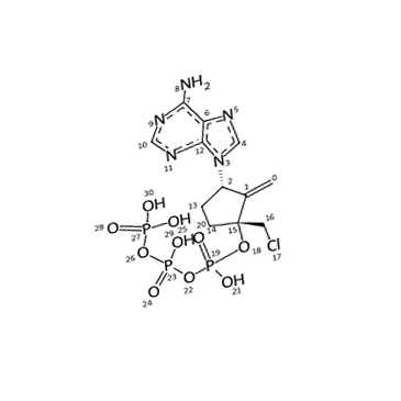 C=C1[C@@H](n2cnc3c(N)ncnc32)CC[C@@]1(CCl)OP(=O)(O)OP(=O)(O)OP(=O)(O)O